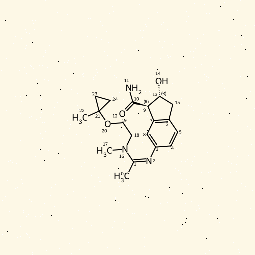 CC(=Nc1ccc2c(c1)[C@@H](C(N)=O)[C@H](O)C2)N(C)CCOC1(C)CC1